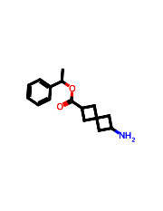 CC(OC(=O)C1CC2(CC(N)C2)C1)c1ccccc1